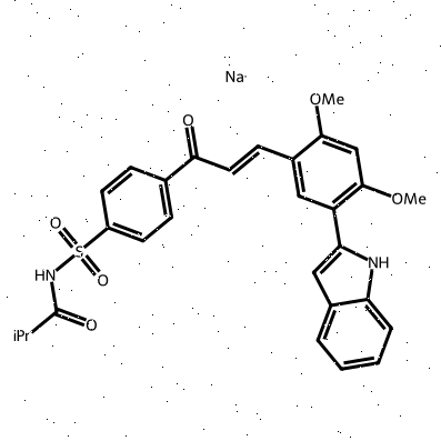 COc1cc(OC)c(-c2cc3ccccc3[nH]2)cc1C=CC(=O)c1ccc(S(=O)(=O)NC(=O)C(C)C)cc1.[Na]